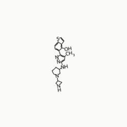 Cc1cc(N[C@@H]2CCCN(C3CNC3)C2)nnc1-c1ccc2sccc2c1O